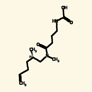 C=CCC[C@H](C)CN(C)C(=O)CCCNC(=O)O